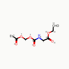 CCC(=O)OCOC(=O)NCC(=O)OCC=O